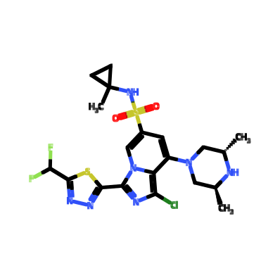 C[C@H]1CN(c2cc(S(=O)(=O)NC3(C)CC3)cn3c(-c4nnc(C(F)F)s4)nc(Cl)c23)C[C@H](C)N1